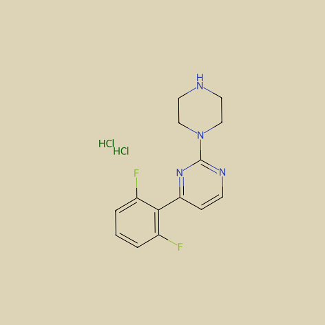 Cl.Cl.Fc1cccc(F)c1-c1ccnc(N2CCNCC2)n1